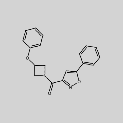 O=C(c1cc(-c2ccccc2)on1)N1CC(Oc2ccccc2)C1